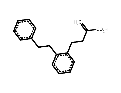 C=C(CCc1ccccc1CCc1ccccc1)C(=O)O